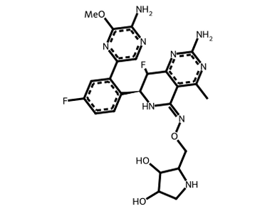 COc1nc(-c2cc(F)ccc2[C@@H]2N/C(=N\OCC3NCC(O)C3O)c3c(C)nc(N)nc3C2F)cnc1N